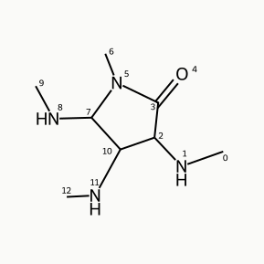 CNC1C(=O)N(C)C(NC)C1NC